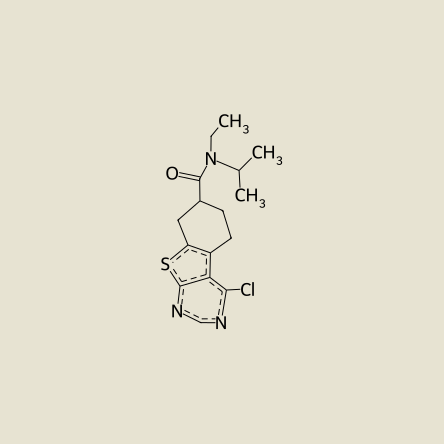 CCN(C(=O)C1CCc2c(sc3ncnc(Cl)c23)C1)C(C)C